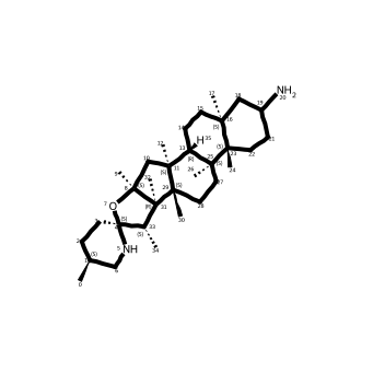 C[C@H]1CC[C@]2(NC1)O[C@@]1(C)C[C@@]3(C)[C@@H]4CC[C@@]5(C)CC(N)CC[C@]5(C)[C@@]4(C)CC[C@]3(C)[C@@]1(C)[C@@H]2C